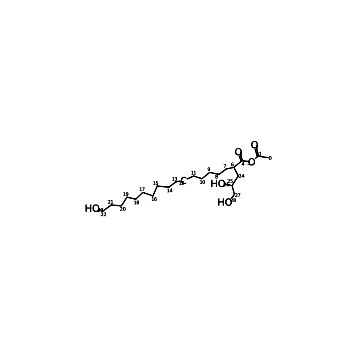 CC(=O)OC(=O)C(CCCCCCCCCCCCCCCCO)CC(O)CO